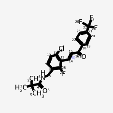 CC(C)(C)C(=O)NCc1ccc(Cl)c(/C=C/C(=O)c2ccc(C(F)(F)F)cc2)c1F